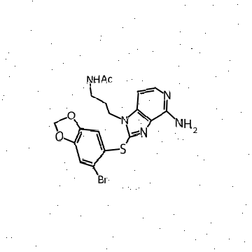 CC(=O)NCCCn1c(Sc2cc3c(cc2Br)OCO3)nc2c(N)nccc21